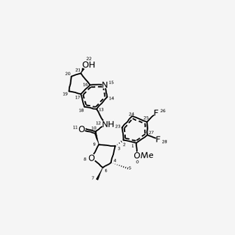 COc1c([C@@H]2[C@H](C)[C@@H](C)O[C@H]2C(=O)Nc2cnc3c(c2)CC[C@H]3O)ccc(F)c1F